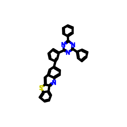 c1ccc(-c2nc(-c3ccccc3)nc(-c3cccc(-c4ccc5nc6c(cc5c4)sc4ccccc46)c3)n2)cc1